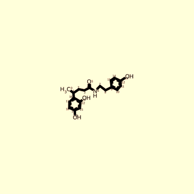 CC(CCC(=O)NCCc1ccc(O)cc1)c1ccc(O)cc1O